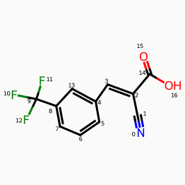 N#C/C(=C\c1cccc(C(F)(F)F)c1)C(=O)O